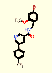 O=C(NCc1ccc(Br)cc1OC(F)(F)F)c1cncc(-c2ccc(C(F)(F)F)cc2)c1